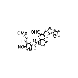 COCCNc1cc(NC(=O)N2CCCc3cc(CN(C[C@@H]4CCCO4)C(C)=O)c(C=O)nc32)ncc1C#N